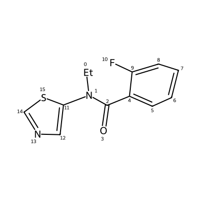 CCN(C(=O)c1ccccc1F)c1cncs1